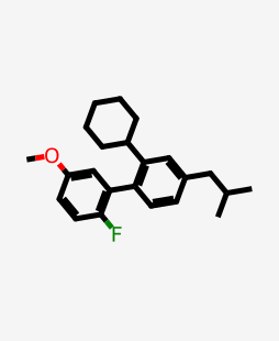 COc1ccc(F)c(-c2ccc(CC(C)C)cc2C2CCCCC2)c1